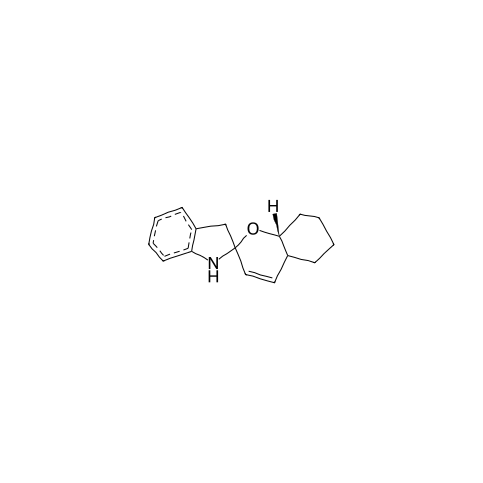 C1=CC2(Cc3ccccc3N2)O[C@@H]2CCCCC12